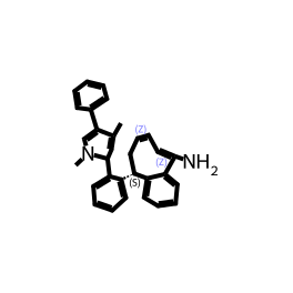 CC1=CC(c2ccccc2[C@@H]2C/C=C\C=C(/N)c3ccccc32)N(C)C=C1c1ccccc1